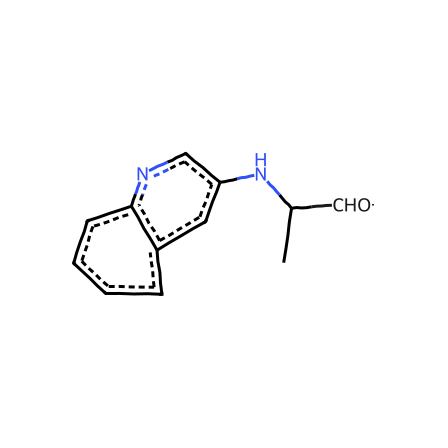 CC([C]=O)Nc1cnc2ccccc2c1